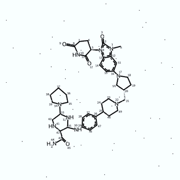 Cn1c(=O)n([C@@H]2CCC(=O)NC2=O)c2ccc(N3CC[C@H](CN4CCC(c5ccc(NC6NC(N7CCCCC7)CNC6C(N)=O)cc5)CC4)C3)cc21